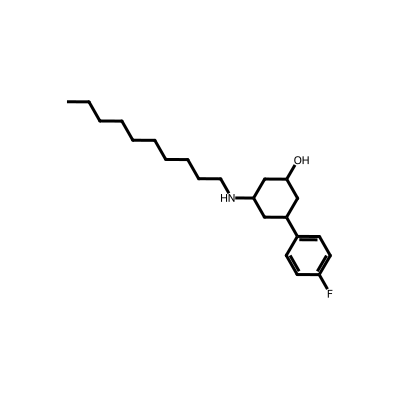 CCCCCCCCCCNC1CC(O)CC(c2ccc(F)cc2)C1